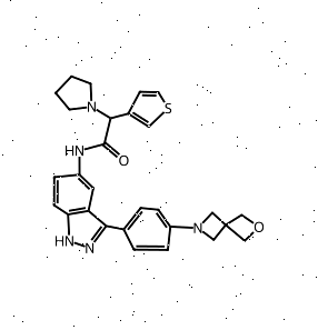 O=C(Nc1ccc2[nH]nc(-c3ccc(N4CC5(COC5)C4)cc3)c2c1)C(c1ccsc1)N1CCCC1